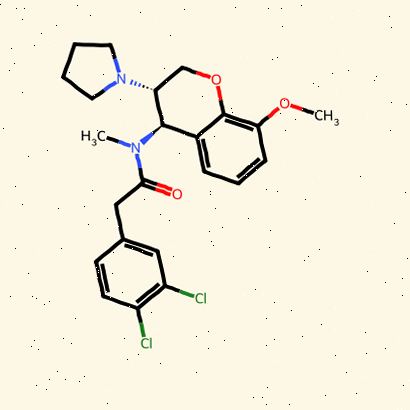 COc1cccc2c1OC[C@@H](N1CCCC1)[C@@H]2N(C)C(=O)Cc1ccc(Cl)c(Cl)c1